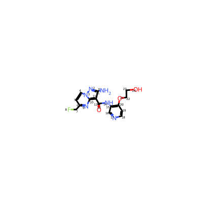 Nc1nn2ccc(CF)nc2c1C(=O)Nc1cnccc1OCCO